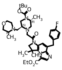 CCOC(=O)c1cnc2c(Cc3ccc(F)cc3)cc3c(n12)C(C)(C)CN3C(=O)CN1C[C@@H](C)N(C(=O)OC(C)(C)C)C[C@@H]1CN1CCOC[C@H]1C